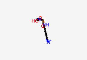 CC(C)(CCC(=O)N1CC[C@@H](O)C1)SSCCNC(=O)CCCCCCCCCCCCCCCN=[N+]=[N-]